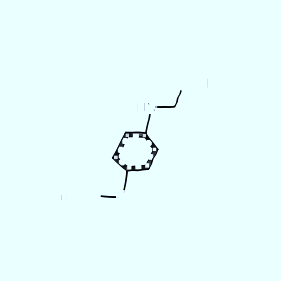 CCCCCOc1ccc(NCC(=O)OCC)cc1